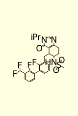 CC(C)n1cnc2c(c1=O)C(Cc1cccc(-c3cccc(C(F)F)c3F)c1F)C(NS(C)(=O)=O)CC2